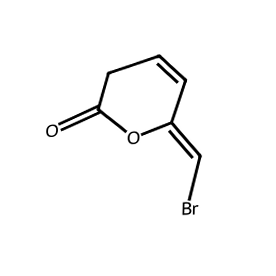 O=C1CC=CC(=CBr)O1